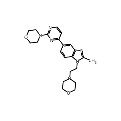 Cc1nc2cc(-c3c[c]nc(N4CCOCC4)n3)ccc2n1CCN1CCOCC1